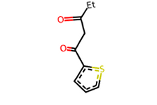 CCC(=O)CC(=O)c1cccs1